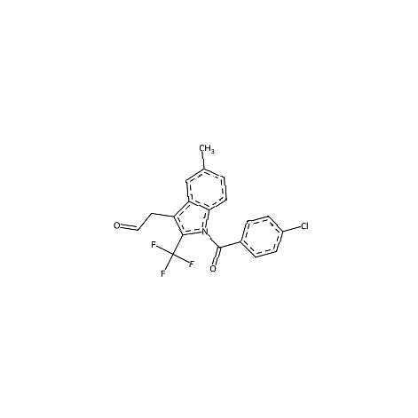 Cc1ccc2c(c1)c(CC=O)c(C(F)(F)F)n2C(=O)c1ccc(Cl)cc1